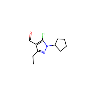 CCc1nn(C2CCCC2)c(Cl)c1C=O